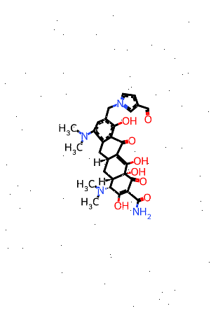 CN(C)c1cc(Cn2ccc(C=O)c2)c(O)c2c1C[C@H]1C[C@H]3[C@@H](N(C)C)C(O)=C(C(N)=O)C(=O)[C@@]3(O)C(O)=C1C2=O